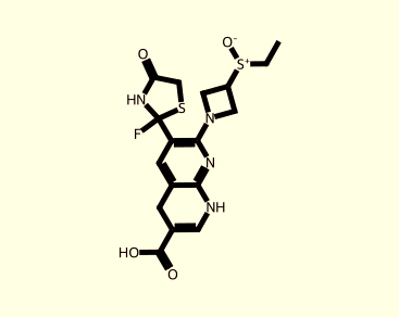 CC[S+]([O-])C1CN(c2nc3c(cc2C2(F)NC(=O)CS2)CC(C(=O)O)=CN3)C1